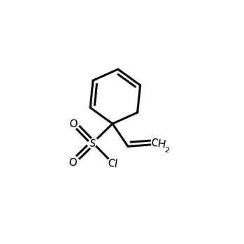 C=CC1(S(=O)(=O)Cl)C=CC=CC1